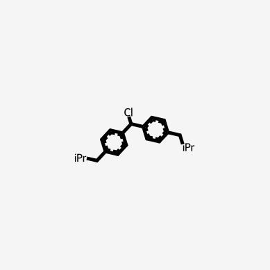 CC(C)Cc1ccc(C(Cl)c2ccc(CC(C)C)cc2)cc1